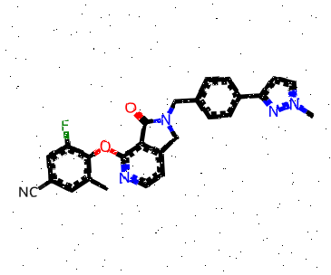 Cc1cc(C#N)cc(F)c1Oc1nccc2c1C(=O)N(Cc1ccc(-c3ccn(C)n3)cc1)C2